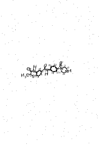 CC1Sc2ccc(C(=O)Nc3ccc([S+]([O-])N4CCNCC4)cc3)cc2NC1=O